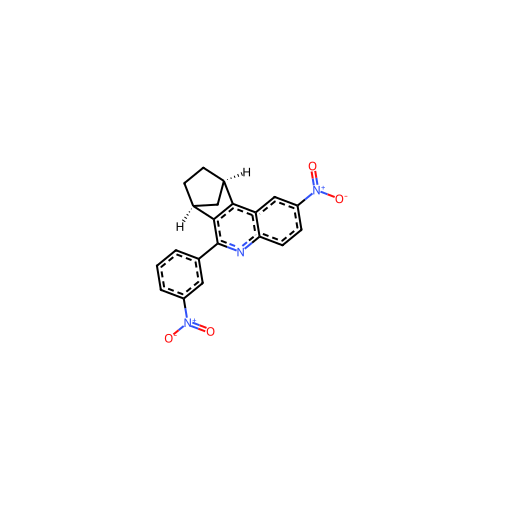 O=[N+]([O-])c1cccc(-c2nc3ccc([N+](=O)[O-])cc3c3c2[C@H]2CC[C@@H]3C2)c1